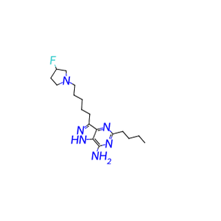 CCCCc1nc(N)c2[nH]nc(CCCCCN3CCC(F)C3)c2n1